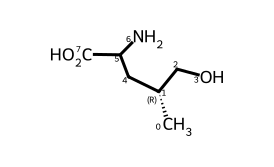 C[C@@H](CO)CC(N)C(=O)O